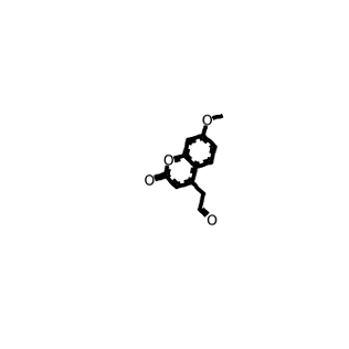 COc1ccc2c(CC=O)cc(=O)oc2c1